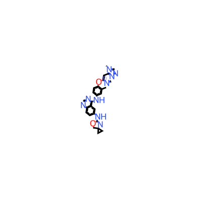 C=N/C(=C\c1nncn1C)Oc1ccc(Nc2ncnc3ccc(NC4=NC5(CC5)CO4)cc23)cc1C